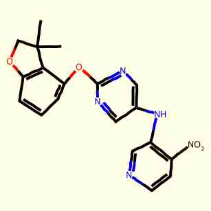 CC1(C)COc2cccc(Oc3ncc(Nc4cnccc4[N+](=O)[O-])cn3)c21